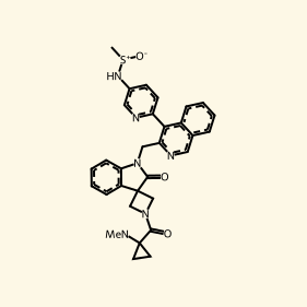 CNC1(C(=O)N2CC3(C2)C(=O)N(Cc2ncc4ccccc4c2-c2ccc(N[S+](C)[O-])cn2)c2ccccc23)CC1